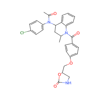 CC(=O)N(c1ccc(Cl)cc1)C1CC(C)N(C(=O)c2ccc(OCC3CNC(=O)O3)cc2)c2ccccc21